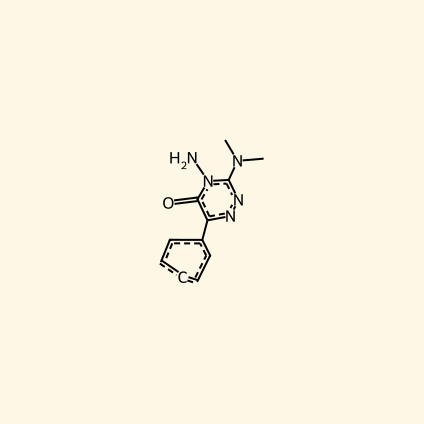 CN(C)c1nnc(-c2ccccc2)c(=O)n1N